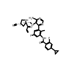 C=CC(=O)[C@@]1(COc2c(N)ncnc2-c2cc(F)cc(NC(=O)c3ccc(C4CC4)cc3F)c2C)C[C@H](C#N)CN1